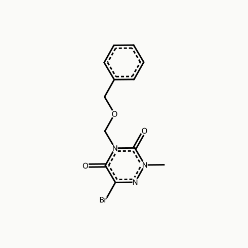 Cn1nc(Br)c(=O)n(COCc2ccccc2)c1=O